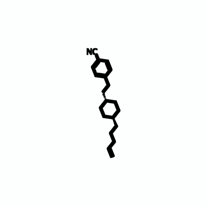 C=CCCC[C@H]1CC[C@H](CCc2ccc(C#N)cc2)CC1